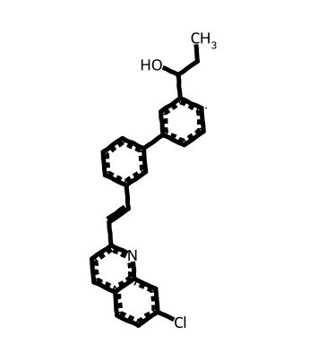 CCC(O)c1[c]ccc(-c2cccc(C=Cc3ccc4ccc(Cl)cc4n3)c2)c1